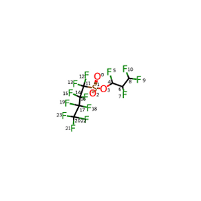 O=S(=O)(OC(F)C(F)C(F)F)C(F)(F)C(F)(F)C(F)(F)C(F)(F)F